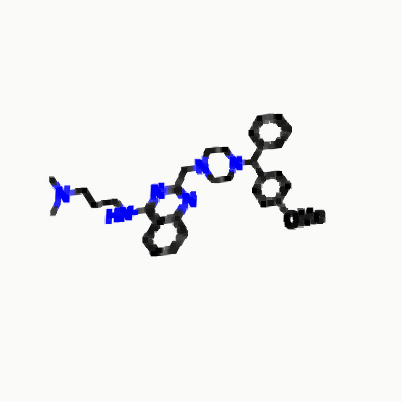 COc1ccc(C(c2ccccc2)N2CCN(Cc3nc(NCCCN(C)C)c4ccccc4n3)CC2)cc1